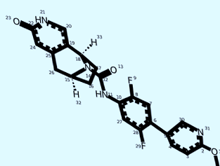 COc1ccc(-c2cc(F)c(NC(=O)N3[C@H]4CC[C@@H]3c3c[nH]c(=O)cc3C4)cc2F)cn1